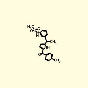 Cc1ccc(C(=O)c2ccc(C(C)c3cccc(NS(C)(=O)=O)c3)[nH]2)cc1